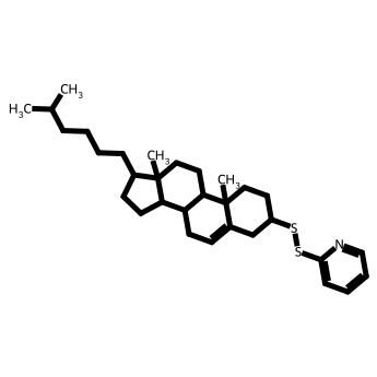 CC(C)CCCCC1CCC2C3CC=C4CC(SSc5ccccn5)CCC4(C)C3CCC12C